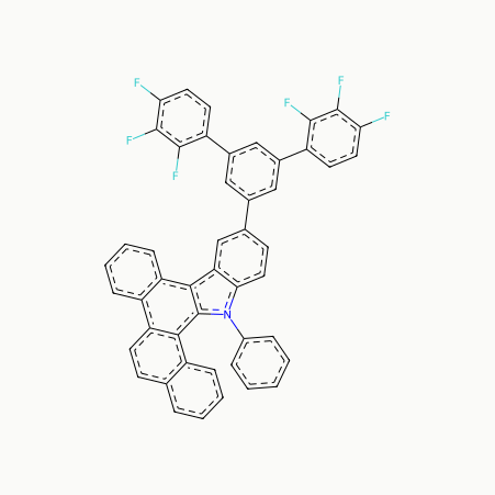 Fc1ccc(-c2cc(-c3ccc4c(c3)c3c5ccccc5c5ccc6ccccc6c5c3n4-c3ccccc3)cc(-c3ccc(F)c(F)c3F)c2)c(F)c1F